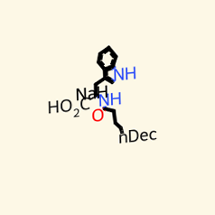 CCCCCCCCCCCCCC(=O)N[C@@H](Cc1c[nH]c2ccccc12)C(=O)O.[NaH]